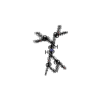 CCCCCCCCC(CCCCCCCC)OC(=O)CCCCCCCN(CCCCCCCC(=O)OC(CCCCCCCC)CCCCCCCC)CCNC(=O)/C=C/C(=O)NCCN(CCCCCCC(C)(C)C(=O)OC(CCCCCCCC)CCCCCCCC)CCCCCCC(C)(C)C(=O)OC(CCCCCCCC)CCCCCCCC